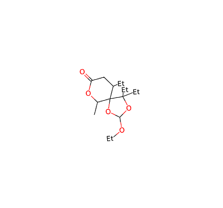 CCOC1OC(CC)(CC)C2(O1)C(CC)CC(=O)OC2C